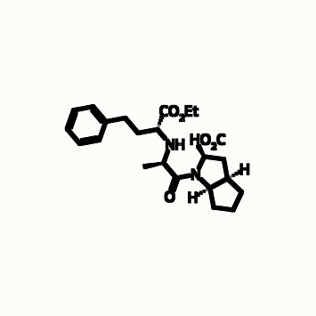 CCOC(=O)[C@@H](CCc1ccccc1)N[C@H](C)C(=O)N1[C@@H](C(=O)O)C[C@H]2CCC[C@H]21